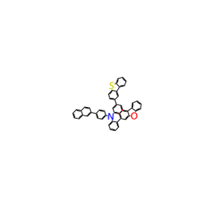 c1cc(-c2ccc3sc4ccccc4c3c2)cc(N(c2ccc(-c3ccc4ccccc4c3)cc2)c2ccccc2-c2ccc3c(c2)oc2ccccc23)c1